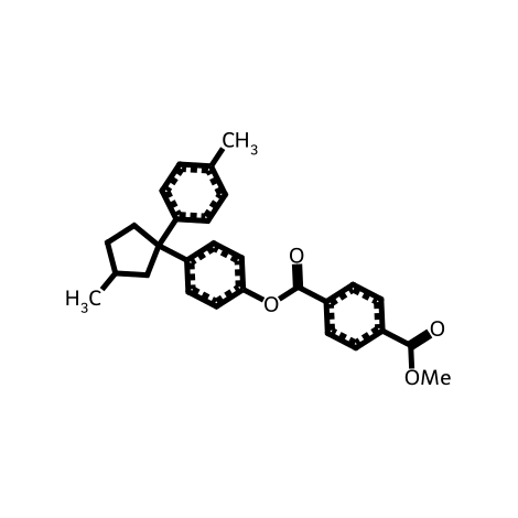 COC(=O)c1ccc(C(=O)Oc2ccc(C3(c4ccc(C)cc4)CCC(C)C3)cc2)cc1